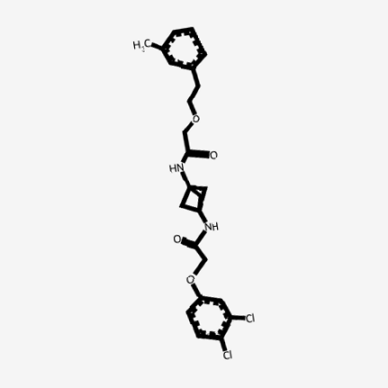 Cc1cccc(CCOCC(=O)NC23CC(NC(=O)COc4ccc(Cl)c(Cl)c4)(C2)C3)c1